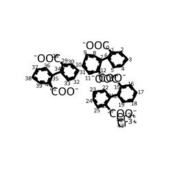 O=C([O-])c1ccccc1-c1ccccc1C(=O)[O-].O=C([O-])c1ccccc1-c1ccccc1C(=O)[O-].O=C([O-])c1ccccc1-c1ccccc1C(=O)[O-].[Cr+3].[Cr+3]